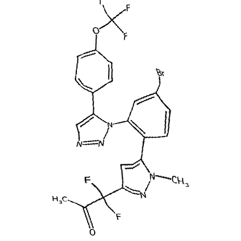 CC(=O)C(F)(F)c1cc(-c2ccc(Br)cc2-n2nncc2-c2ccc(OC(F)(F)F)cc2)n(C)n1